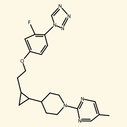 Cc1cnc(N2CCC(C3CC3CCOc3ccc(-n4cnnn4)c(F)c3)CC2)nc1